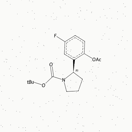 CC(=O)Oc1ccc(F)cc1[C@H]1CCCN1C(=O)OC(C)(C)C